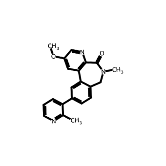 COc1cnc2c(c1)-c1cc(-c3cccnc3C)ccc1CN(C)C2=O